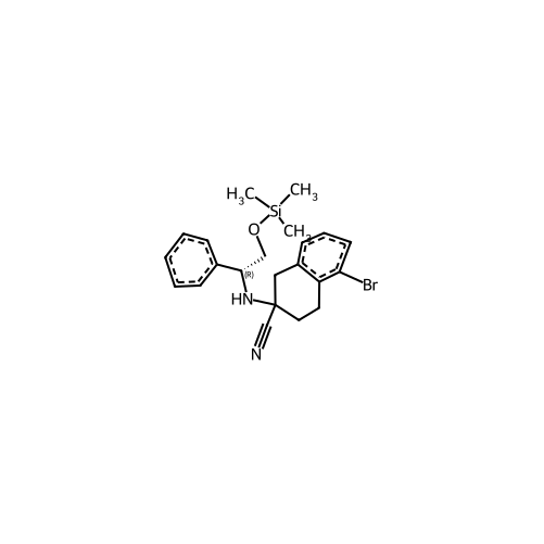 C[Si](C)(C)OC[C@H](NC1(C#N)CCc2c(Br)cccc2C1)c1ccccc1